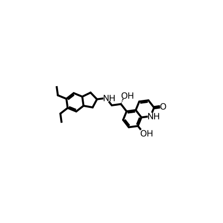 CCC1=CC2CC(NC[C@H](O)c3ccc(O)c4[nH]c(=O)ccc34)CC2C=C1CC